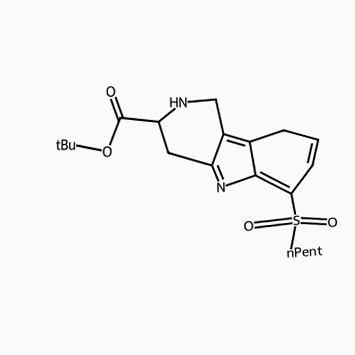 CCCCCS(=O)(=O)C1=C2N=C3CC(C(=O)OC(C)(C)C)NCC3=C2CC=C1